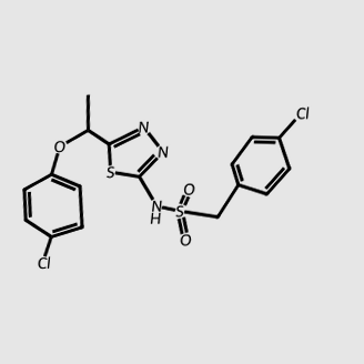 CC(Oc1ccc(Cl)cc1)c1nnc(NS(=O)(=O)Cc2ccc(Cl)cc2)s1